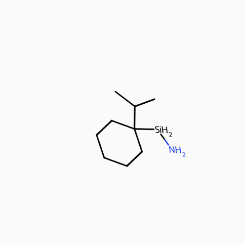 CC(C)C1([SiH2]N)CCCCC1